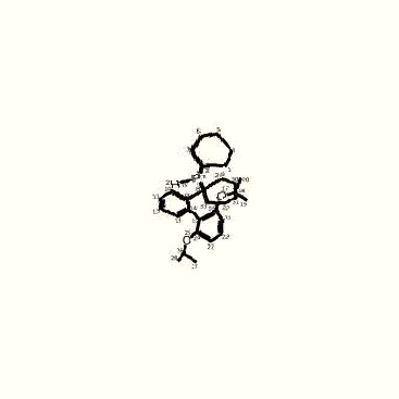 [2H]P(C1CCCCC1)C1(c2ccccc2-c2c(OC(C)C)cccc2OC(C)C)CCCCC1